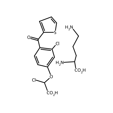 NCCCC(N)C(=O)O.O=C(c1cccs1)c1ccc(OC(Cl)C(=O)O)cc1Cl